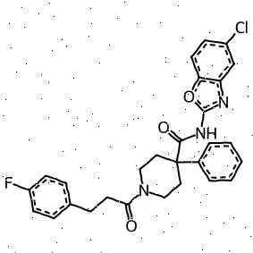 O=C(CCc1ccc(F)cc1)N1CCC(C(=O)Nc2nc3cc(Cl)ccc3o2)(c2ccccc2)CC1